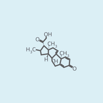 CC1C[C@H]2[C@@H]3CCC4=CC(=O)C=C[C@]4(C)C3=CC[C@]2(C)[C@H]1C(=O)CO